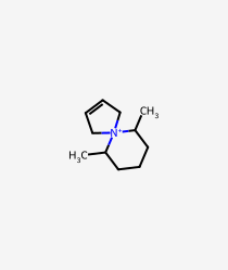 CC1CCCC(C)[N+]12CC=CC2